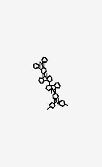 Cc1ccc(N(c2ccc(C)cc2)c2ccc(-n3c4ccccc4c4c(-c5cccc6c5c5ccccc5n6-c5ccc6c(c5)c5ccccc5n6-c5ccccc5)cccc43)cc2)cc1